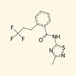 Cc1nsc(NC(=O)c2ccccc2CCC(F)(F)F)n1